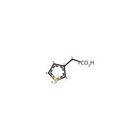 O=C(O)[CH]c1ccsc1